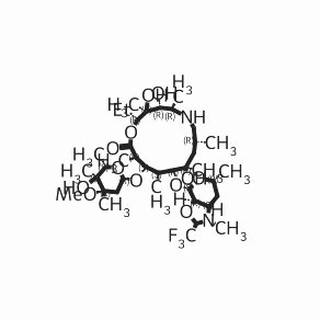 CC[C@H]1OC(=O)[C@H](C)[C@@H](O[C@H]2C[C@@](C)(OC)[C@@](C)(O)[C@H](C)O2)[C@H](C)[C@@H](O[C@@H]2O[C@H](C)C[C@H]3[C@H]2OC(C(F)(F)F)N3C)[C@](C)(O)C[C@@H](C)CN[C@H](C)[C@@H](O)[C@]1(C)O